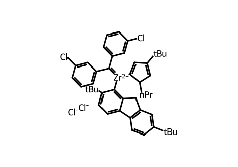 CCCC1C=C(C(C)(C)C)C=[C]1[Zr+2](=[C](c1cccc(Cl)c1)c1cccc(Cl)c1)[c]1c(C(C)(C)C)ccc2c1Cc1cc(C(C)(C)C)ccc1-2.[Cl-].[Cl-]